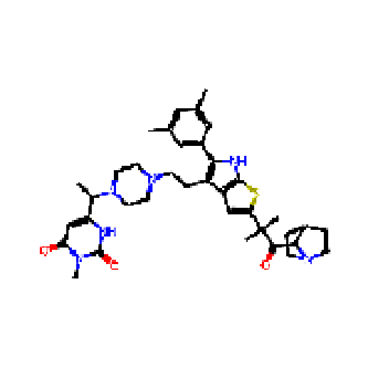 Cc1cc(C)cc(-c2[nH]c3sc(C(C)(C)C(=O)C4C5CCN4CC5)cc3c2CCN2CCN(C(C)c3cc(=O)n(C)c(=O)[nH]3)CC2)c1